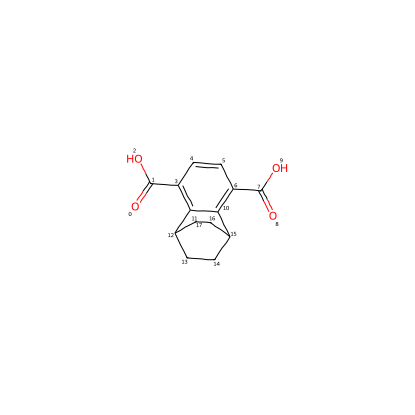 O=C(O)c1ccc(C(=O)O)c2c1C1CCC2CC1